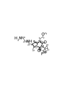 COCCn1c(=O)n(C2(C(F)(F)F)CC2)c(=O)c2c(C)c(CNCCN)sc21